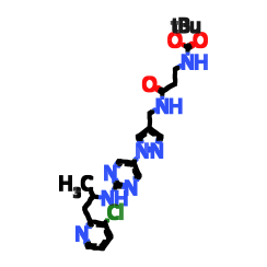 CC(Cc1ncccc1Cl)Nc1ncc(-n2cc(CNC(=O)CCNC(=O)OC(C)(C)C)cn2)cn1